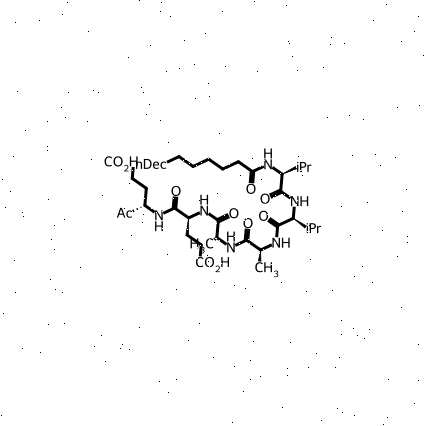 CCCCCCCCCCCCCCCC(=O)N[C@H](C(=O)N[C@H](C(=O)N[C@@H](C)C(=O)N[C@@H](C)C(=O)N[C@@H](CCC(=O)O)C(=O)N[C@@H](CCC(=O)O)C(C)=O)C(C)C)C(C)C